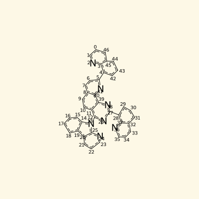 c1cnc2c(-c3ccc4ccc5c(-n6c7ccccc7c7cccnc76)nc(-c6cccc7cccnc67)nc5c4n3)cccc2c1